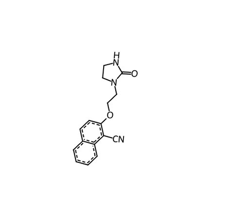 N#Cc1c(OCCN2CCNC2=O)ccc2ccccc12